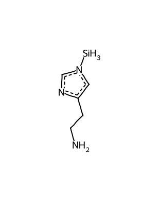 NCCc1cn([SiH3])cn1